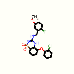 COc1ccc(F)c(CNC2=NS(=O)(=O)c3cccc(Oc4ccccc4Cl)c3N2)c1